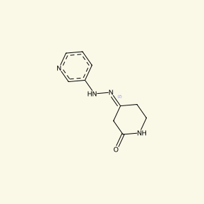 O=C1C/C(=N\Nc2cccnc2)CCN1